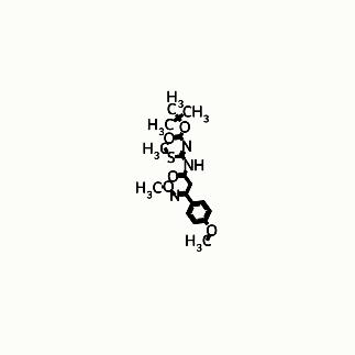 CON=C(CC(=O)NC(=NC(=O)OC(C)(C)C)SC)c1ccc(OC)cc1